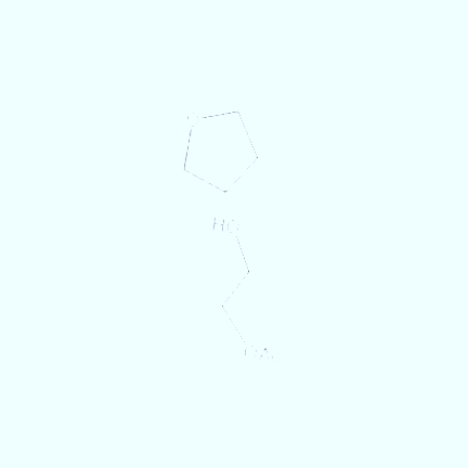 C1CCOC1.CC(=O)OCCO